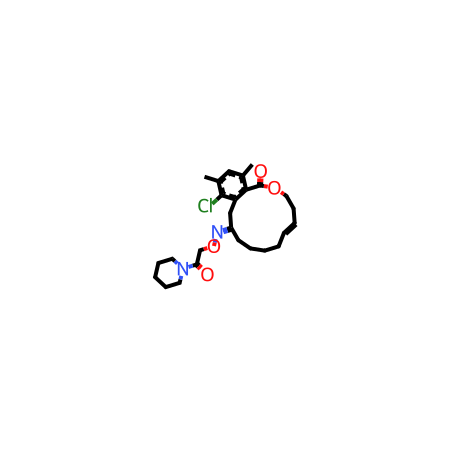 Cc1cc(C)c2c(c1Cl)C/C(=N/OCC(=O)N1CCCCC1)CCCC/C=C/CCOC2=O